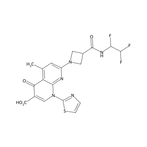 Cc1cc(N2CC(C(=O)NC(F)C(F)F)C2)nc2c1c(=O)c(C(=O)O)cn2-c1nccs1